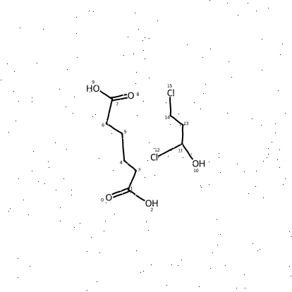 O=C(O)CCCCC(=O)O.OC(Cl)CCCl